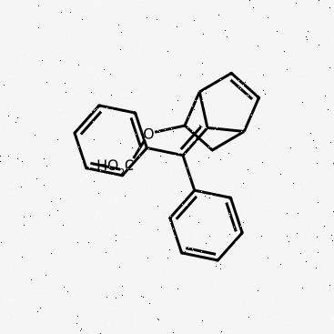 O=C(O)OC1CC2C=CC1C2=C(c1ccccc1)c1ccccc1